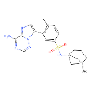 CC(=O)C12CCCC(NS(=O)(=O)c3ccc(C)c(-c4cnc5c(N)ncnn45)c3)(C1)C2